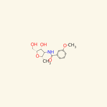 COc1cccc(C(=O)NC2[C@H](C)O[C@H](CO)[C@@H]2O)c1